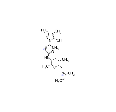 C=C/C(C)=C/CC1OC(C)C(NC(=O)/C=C\C(C)N2N=C(C)N(C)C2C)CC1C